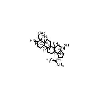 C=C(C)[C@@H]1CC[C@]2(C=N)CC[C@]3(C)[C@H](CC[C@@H]4[C@@]5(C)CCC(=N)C(C)(COC(C)=O)[C@@H]5CC[C@]43C)[C@@H]12